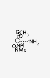 CNC(=O)Nc1ccc(CS(C)(=O)=O)cc1OCCCN